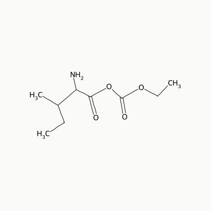 CCOC(=O)OC(=O)C(N)C(C)CC